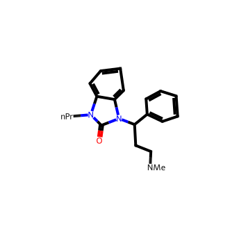 CCCn1c(=O)n(C(CCNC)c2ccccc2)c2ccccc21